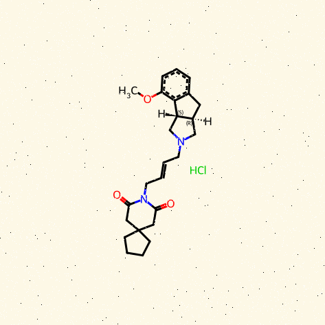 COc1cccc2c1[C@H]1CN(CC=CCN3C(=O)CC4(CCCC4)CC3=O)C[C@@H]1C2.Cl